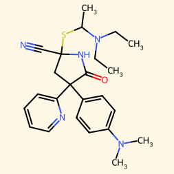 CCN(CC)C(C)SC1(C#N)CC(c2ccc(N(C)C)cc2)(c2ccccn2)C(=O)N1